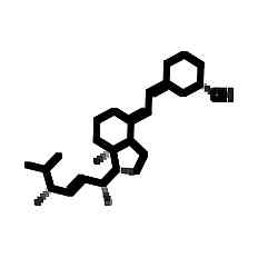 CC(C)[C@@H](C)/C=C/[C@@H](C)[C@H]1CCC2/C(=C/C=C3/CCC[C@H](O)C3)CCC[C@@]21C